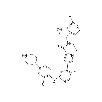 Cc1cnc(Nc2ccc(N3CCNCC3)cc2Cl)nc1-c1cc2n(c1)CCN([C@H](CO)c1cccc(Cl)c1)C2=O